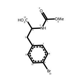 COC(=O)NC(Cc1ccc(Br)cc1)C(=O)O